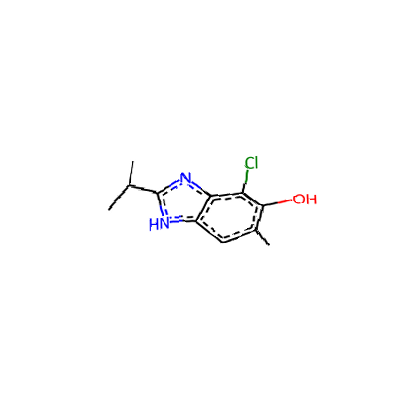 Cc1cc2[nH]c(C(C)C)nc2c(Cl)c1O